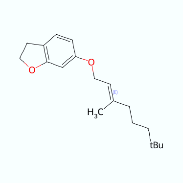 C/C(=C\COc1ccc2c(c1)OCC2)CCCC(C)(C)C